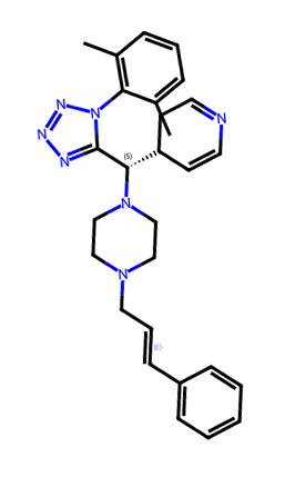 Cc1cccc(C)c1-n1nnnc1[C@H](C1C=CN=CC1)N1CCN(C/C=C/c2ccccc2)CC1